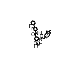 CC12CC3CN(CC(=O)Nc4cc(C(=O)Nc5ccc(-c6ccccc6F)nc5)ccc4OC(F)(F)F)CC(C1)N32